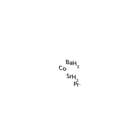 [BaH2].[Co].[Pr].[SrH2]